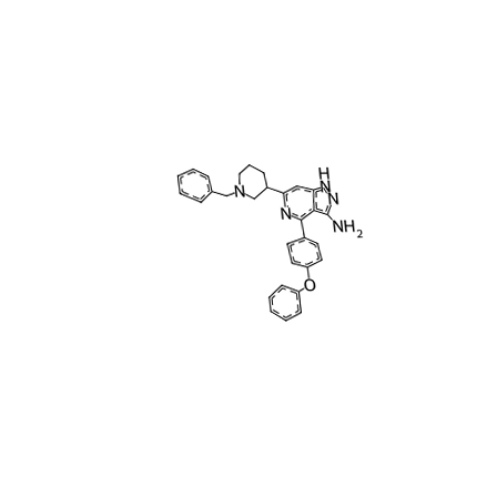 Nc1n[nH]c2cc(C3CCCN(Cc4ccccc4)C3)nc(-c3ccc(Oc4ccccc4)cc3)c12